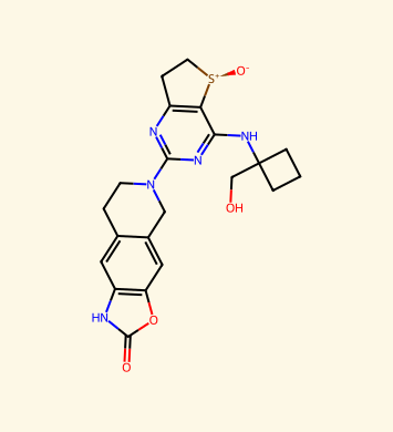 O=c1[nH]c2cc3c(cc2o1)CN(c1nc2c(c(NC4(CO)CCC4)n1)[S@+]([O-])CC2)CC3